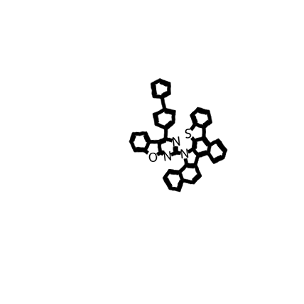 c1ccc(-c2ccc(-c3nc(-n4c5c6ccccc6ccc5c5c6ccccc6c6c7ccccc7sc6c54)nc4oc5ccccc5c34)cc2)cc1